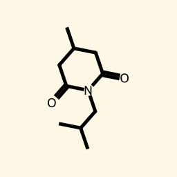 CC(C)CN1C(=O)CC(C)CC1=O